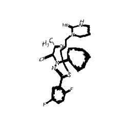 C[C@H](O)C(=O)N1N=C(c2cc(F)ccc2F)SC1(CCCN1CCCNC1=N)c1ccccc1